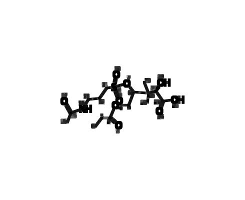 CCC(=O)OCC(OS(=O)(=O)CCCNC(C)=O)C(C)(C)[C@@H](O)C(=O)O